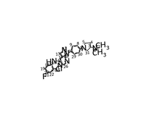 CN(C)C1CCN(c2ccc(-n3ncc4c(Nc5ccc(F)cc5Cl)ncnc43)cc2)C1